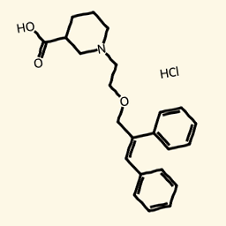 Cl.O=C(O)C1CCCN(CCOCC(=Cc2ccccc2)c2ccccc2)C1